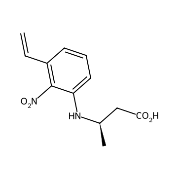 C=Cc1cccc(N[C@H](C)CC(=O)O)c1[N+](=O)[O-]